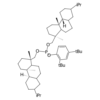 CC(C)C1CC[C@@H]2C(CCC3[C@@](C)(COP(OC[C@@]4(C)CCC[C@@]5(C)C4CCC4CC(C(C)C)CC[C@H]45)Oc4ccc(C(C)(C)C)cc4C(C)(C)C)CCC[C@@]32C)C1